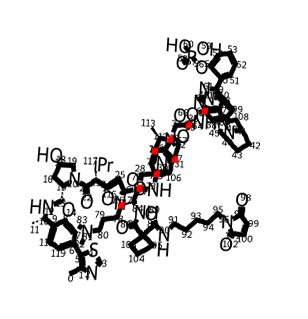 Cc1ncsc1-c1ccc([C@H](C)NC(=O)[C@@H]2C[C@@H](O)CN2C(=O)[C@@H](c2cc(OCCN3CCN(CCOc4cc(N5C6CCC5CN(c5cc(-c7ccccc7OP(=O)(O)O)nnc5NC(=O)OCc5ccc(NC(=O)[C@H](CCCCN(C)C)NC(=O)C7(C(=O)NCCCCCN8C(=O)C=CC8=O)CCC7)cc5)C6)ccn4)[C@H](C)C3)no2)C(C)C)cc1